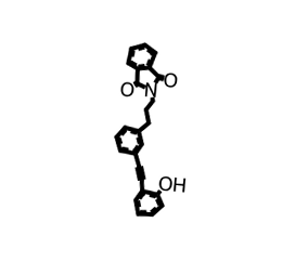 O=C1c2ccccc2C(=O)N1CCCc1cccc(C#Cc2ccccc2O)c1